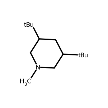 CN1CC(C(C)(C)C)CC(C(C)(C)C)C1